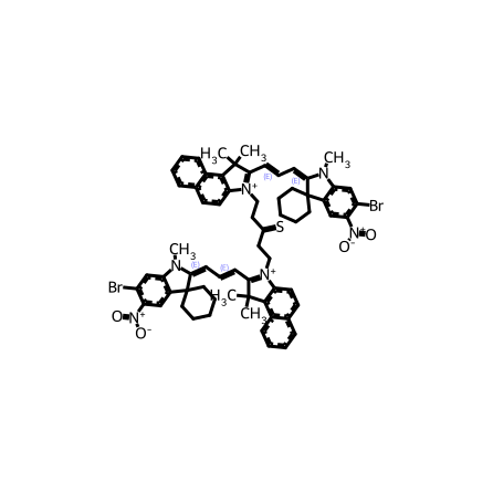 CN1/C(=C/C=C/C2=[N+](CCC(=S)CC[N+]3=C(/C=C/C=C4/N(C)c5cc(Br)c([N+](=O)[O-])cc5C45CCCCC5)C(C)(C)c4c3ccc3ccccc43)c3ccc4ccccc4c3C2(C)C)C2(CCCCC2)c2cc([N+](=O)[O-])c(Br)cc21